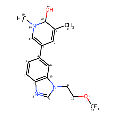 CC1=CC(c2ccc3ncn(CCOC(F)(F)F)c3c2)=CN(C)C1O